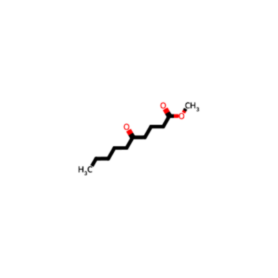 CCCCCC(=O)CCCC(=O)OC